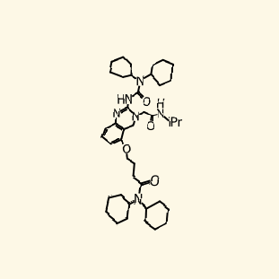 CC(C)NC(=O)CN1Cc2c(cccc2OCCCC(=O)N(C2CCCCC2)C2CCCCC2)N=C1NC(=O)N(C1CCCCC1)C1CCCCC1